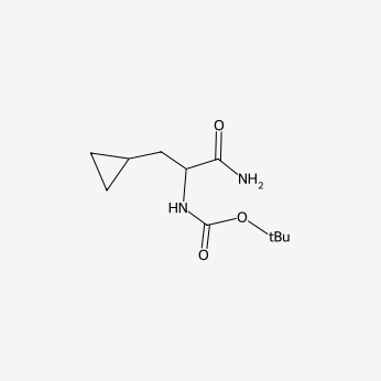 CC(C)(C)OC(=O)NC(CC1CC1)C(N)=O